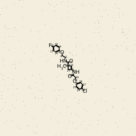 CC1(C(=O)NCCOc2ccc(F)cc2)C=C(NC(=O)COc2ccc(Cl)cc2)C1